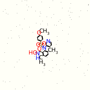 COc1ccc(S(=O)(=O)CN(c2cccnc2)c2c(C)ccc(C)c2C(=O)NO)cc1